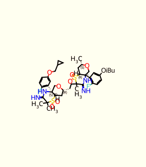 CC(C)COc1ccc(F)c([C@]23CO[C@@H](C)C[C@H]2S(=O)(=O)C(C)(CC[C@@H]2C[C@@H]4[C@](c5cc(OCC6CC6)ccc5F)(CO2)NC(=N)C(C)(C)S4(=O)=O)C(=N)N3)c1